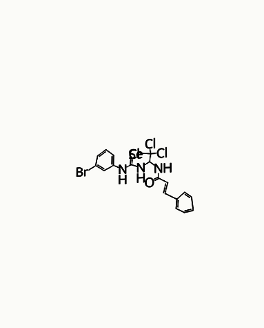 O=C(/C=C/c1ccccc1)NC(NC(=[Se])Nc1cccc(Br)c1)C(Cl)(Cl)Cl